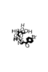 O=C(c1ccc(Br)cc1)c1cnc(NC2OC(CO)C(O)C(O)C2O)s1